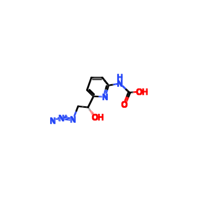 [N-]=[N+]=NC[C@@H](O)c1cccc(NC(=O)O)n1